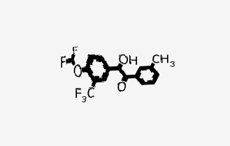 Cc1cccc(C(=O)C(O)c2ccc(OC(F)F)c(C(F)(F)F)c2)c1